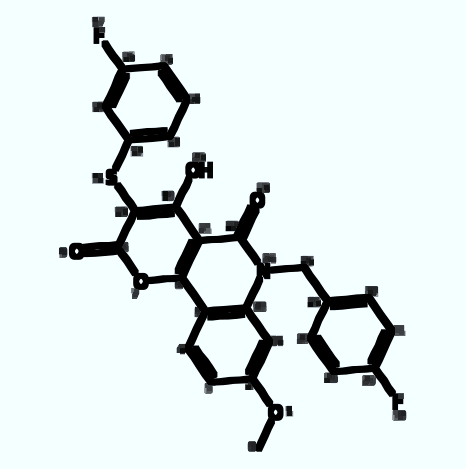 COc1ccc2c3oc(=O)c(Sc4cccc(F)c4)c(O)c3c(=O)n(Cc3ccc(F)cc3)c2c1